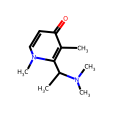 Cc1c(C(C)N(C)C)n(C)ccc1=O